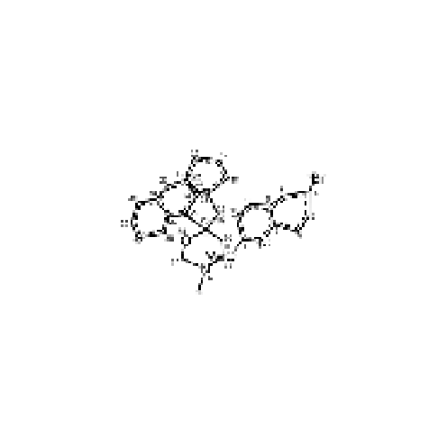 COc1nc2ccc(Br)cc2cc1[C@@H](c1ccccc1)[C@]1(c2cccc3ccccc23)CCN(C)CO1